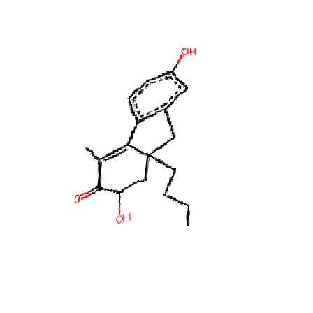 CCCCC12Cc3cc(O)ccc3C1=C(C)C(=O)C(O)C2